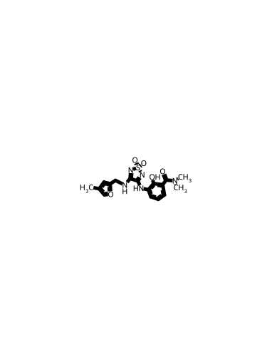 Cc1coc(CNC2=NS(=O)(=O)N=C2Nc2cccc(C(=O)N(C)C)c2O)c1